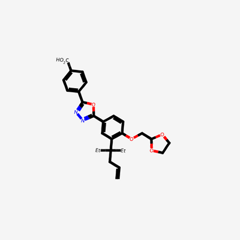 C=CCC(CC)(CC)c1cc(-c2nnc(-c3ccc(C(=O)O)cc3)o2)ccc1OCC1OCCO1